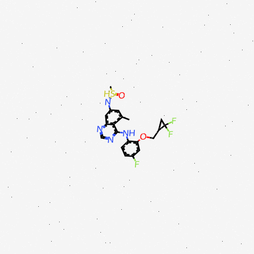 Cc1cc(/N=[SH](/C)=O)cc2ncnc(Nc3ccc(F)cc3OCC3CC3(F)F)c12